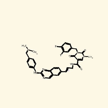 CN(C)Cc1ccc(Nc2ncc3cc(/C=C/CNC(=O)c4cn(C)c(=O)n(Cc5ccc(F)c(F)c5)c4=O)ccc3n2)cc1